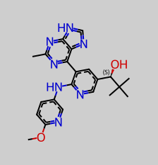 COc1ccc(Nc2ncc([C@@H](O)C(C)(C)C)cc2-c2nc(C)nc3[nH]cnc23)cn1